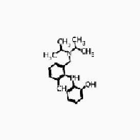 Cc1cccc(CN(C(C)C)C(C)C)c1Pc1ccccc1O